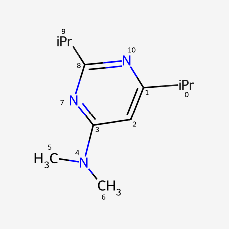 CC(C)c1cc(N(C)C)nc(C(C)C)n1